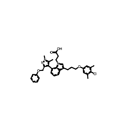 Cc1cc(OCCCc2cn(CCC(=O)O)c3c(-c4c(COc5ccccc5)nn(C)c4C)cccc23)cc(C)c1Cl